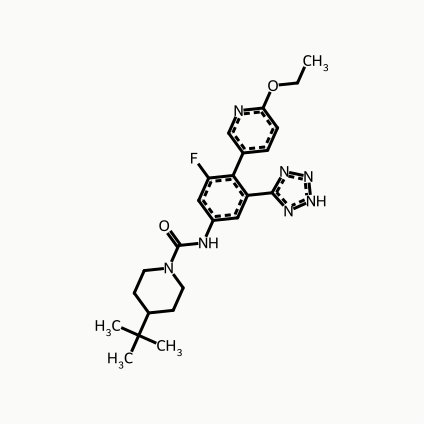 CCOc1ccc(-c2c(F)cc(NC(=O)N3CCC(C(C)(C)C)CC3)cc2-c2nn[nH]n2)cn1